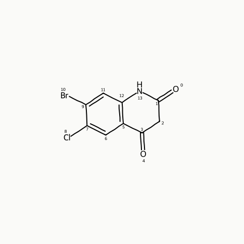 O=C1CC(=O)c2cc(Cl)c(Br)cc2N1